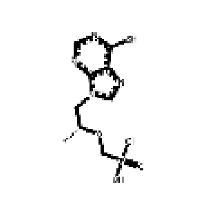 C[C@H](Cn1cnc2c(S)ncnc21)OCP(=O)(O)O